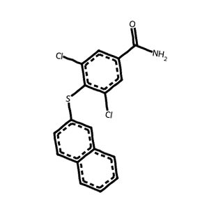 NC(=O)c1cc(Cl)c(Sc2ccc3ccccc3c2)c(Cl)c1